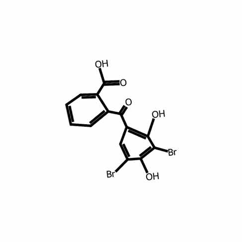 O=C(O)c1ccccc1C(=O)c1cc(Br)c(O)c(Br)c1O